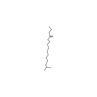 CCCNCCCCCCCCCC(C)C